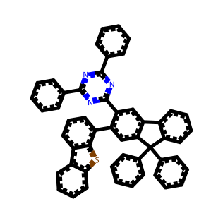 c1ccc(-c2nc(-c3ccccc3)nc(-c3cc4c(cc3-c3cccc5c3sc3ccccc35)C(c3ccccc3)(c3ccccc3)c3ccccc3-4)n2)cc1